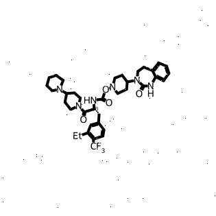 CCc1cc(C[C@@H](NC(=O)ON2CCC(N3CCc4ccccc4NC3=O)CC2)C(=O)N2CCC(N3CCCCC3)CC2)ccc1C(F)(F)F